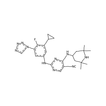 [C-]#[N+]c1cnc(Nc2cc(C3CC3)c(F)c(-n3cnnn3)c2)nc1NC1CC(C)(C)NC(C)(C)C1